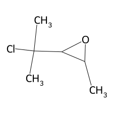 CC1OC1C(C)(C)Cl